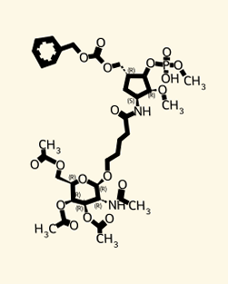 CO[C@H]1C(OP(=O)(O)OC)[C@@H](COC(=O)OCc2ccccc2)C[C@@H]1NC(=O)CCCCO[C@@H]1O[C@H](COC(C)=O)[C@H](OC(C)=O)[C@H](OC(C)=O)[C@H]1NC(C)=O